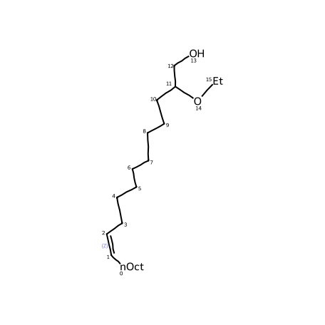 CCCCCCCC/C=C\CCCCCCCCC(CO)OCC